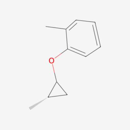 Cc1ccccc1OC1C[C@@H]1C